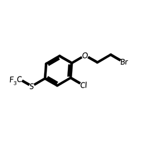 FC(F)(F)Sc1ccc(OCCBr)c(Cl)c1